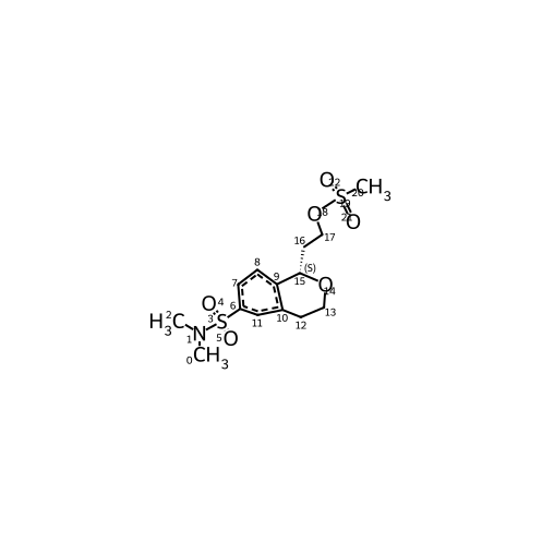 CN(C)S(=O)(=O)c1ccc2c(c1)CCO[C@H]2CCOS(C)(=O)=O